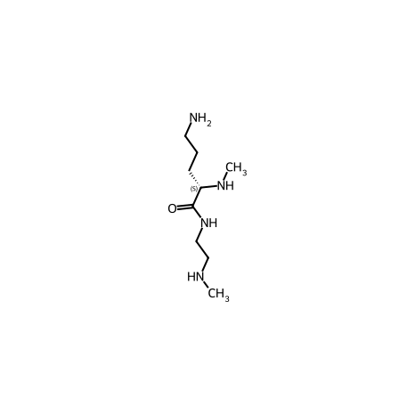 CNCCNC(=O)[C@H](CCCN)NC